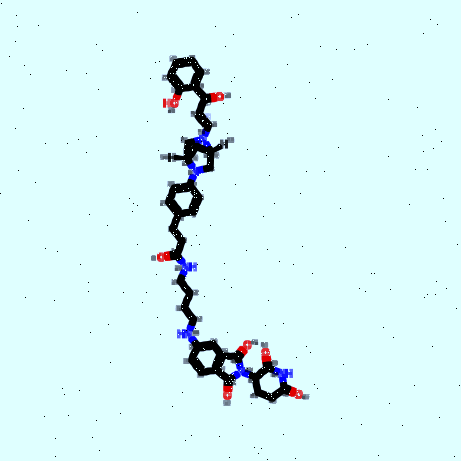 O=C(CCc1ccc(N2C[C@@H]3C[C@H]2CN3/C=C/C(=O)c2ccccc2O)cc1)NCCCCNc1ccc2c(c1)C(=O)N(C1CCC(=O)NC1=O)C2=O